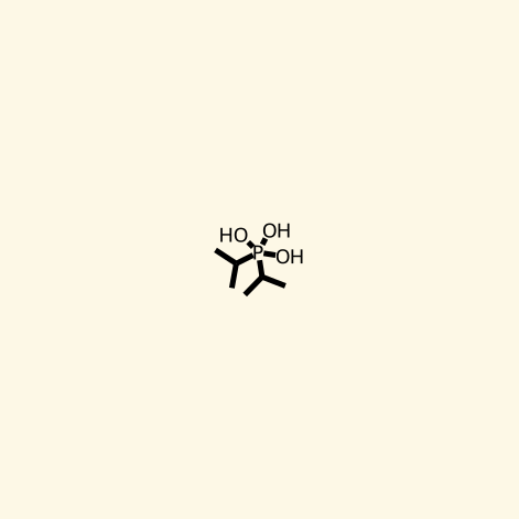 CC(C)P(O)(O)(O)C(C)C